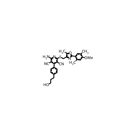 COc1cc(C)c(-c2nc(CSc3nc(N)c(C#N)c(-c4ccc(CCCO)cc4)c3C#N)c(C)o2)cc1C